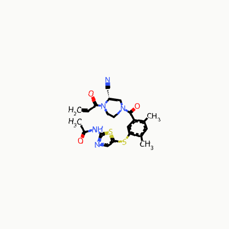 C=CC(=O)N1CCN(C(=O)c2cc(Sc3cnc(NC(C)=O)s3)c(C)cc2C)C[C@H]1C#N